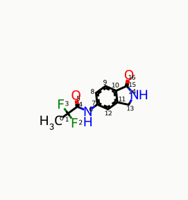 CC(F)(F)C(=O)Nc1ccc2c(c1)CNC2=O